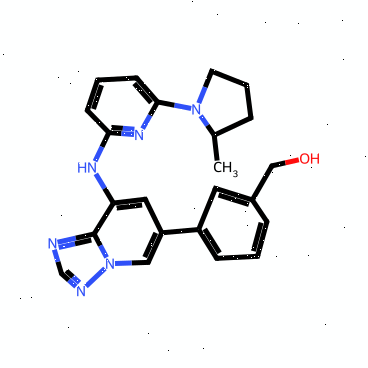 CC1CCCN1c1cccc(Nc2cc(-c3cccc(CO)c3)cn3ncnc23)n1